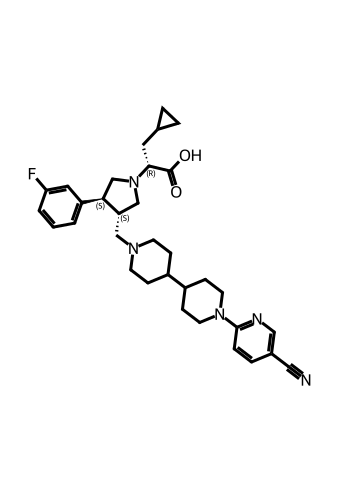 N#Cc1ccc(N2CCC(C3CCN(C[C@H]4CN([C@H](CC5CC5)C(=O)O)C[C@@H]4c4cccc(F)c4)CC3)CC2)nc1